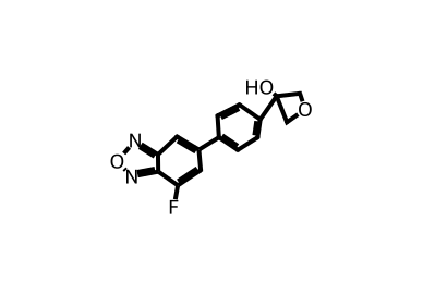 OC1(c2ccc(-c3cc(F)c4nonc4c3)cc2)COC1